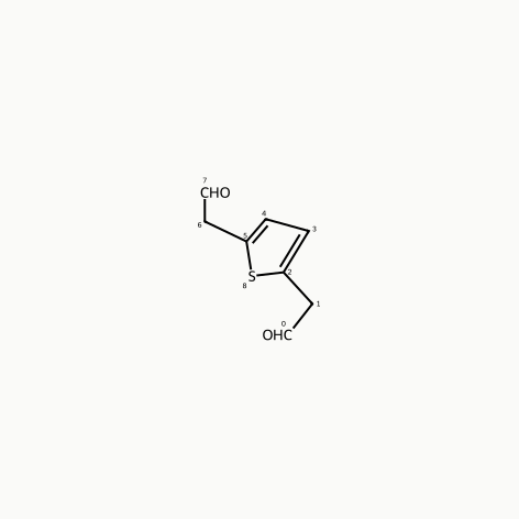 O=CCc1ccc(CC=O)s1